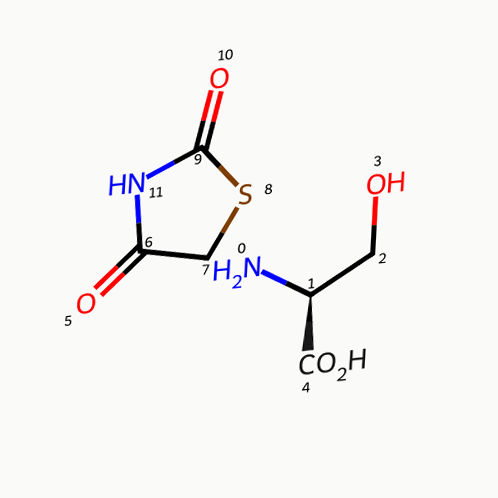 N[C@@H](CO)C(=O)O.O=C1CSC(=O)N1